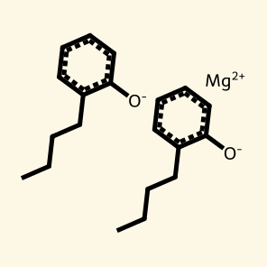 CCCCc1ccccc1[O-].CCCCc1ccccc1[O-].[Mg+2]